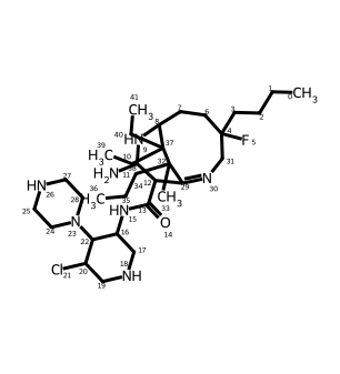 CCCCC1(F)CCC2NC(N)C(C(=O)NC3CNCC(Cl)C3N3CCNCC3)/C(=N/C1)C(C)(CCC)C2(CC)CC